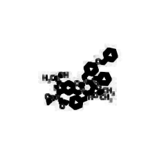 CB(O)n1nc(N(B2CO2)B2CO2)c2cc(CN3C(=O)N(Cc4ccc(OCc5ccccc5)cc4)[C@H](Cc4ccccc4)[C@@H]4OC(C)(C)O[C@H]4[C@H]3Cc3ccccc3)ccc21